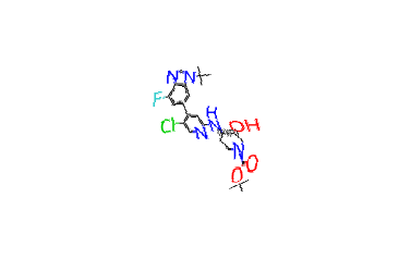 CC(C)(C)OC(=O)N1CC[C@@H](Nc2cc(-c3cc(F)c4ncn(C(C)(C)C)c4c3)c(Cl)cn2)[C@H](O)C1